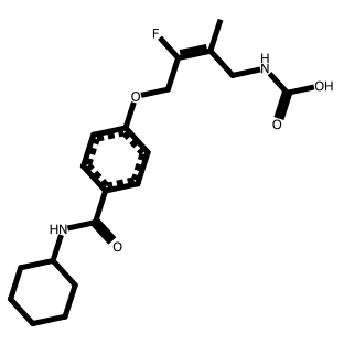 CC(CNC(=O)O)=C(F)COc1ccc(C(=O)NC2CCCCC2)cc1